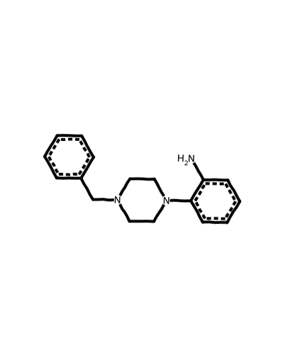 Nc1ccccc1N1CCN(Cc2ccccc2)CC1